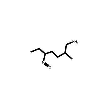 CCC(CCC(C)CN)N=O